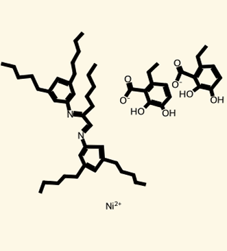 CCCCCC(C=Nc1cc(CCCCC)cc(CCCCC)c1)=Nc1cc(CCCCC)cc(CCCCC)c1.CCc1ccc(O)c(O)c1C(=O)[O-].CCc1ccc(O)c(O)c1C(=O)[O-].[Ni+2]